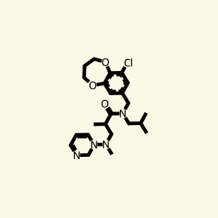 CC(C)CN(Cc1cc(Cl)c2c(c1)OCCCO2)C(=O)C(C)CN(C)N1C=CC=NC1